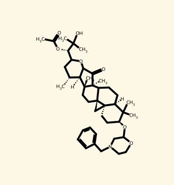 CC(=O)O[C@@H](C1C[C@@H](C)[C@H]2C(O1)C(=O)[C@@]1(C)C3CC[C@H]4C(C)(C)[C@@H](OC5CN(Cc6ccccc6)CCO5)CC[C@@]45C[C@@]35CC[C@]21C)C(C)(C)O